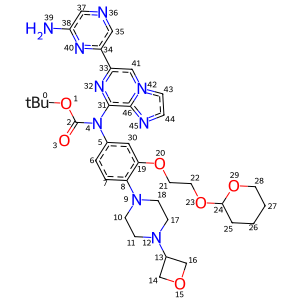 CC(C)(C)OC(=O)N(c1ccc(N2CCN(C3COC3)CC2)c(OCCOC2CCCCO2)c1)c1nc(-c2cncc(N)n2)cn2ccnc12